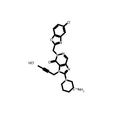 CC#CCn1c(N2CCC[C@@H](N)C2)nc2cnn(Cc3nc4cc(Cl)ccc4o3)c(=O)c21.Cl